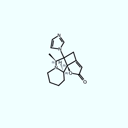 C[C@@H]1N2CCCC[C@@H]2[C@@]23OC(=O)C=C2CC13n1ccnc1